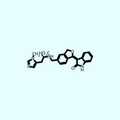 Cn1cncc1C[C@H](NCc1ccc2c(c1)COC2=C1C(=O)Nc2ccccc21)C(=O)O